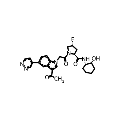 CC(=O)c1cn(CC(=O)N2C[C@H](F)C[C@H]2C(=O)N[C@H]2CCCC[C@@H]2O)c2ccc(-c3ccnnc3)cc12